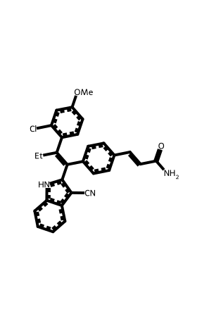 CC/C(=C(/c1ccc(/C=C/C(N)=O)cc1)c1[nH]c2ccccc2c1C#N)c1ccc(OC)cc1Cl